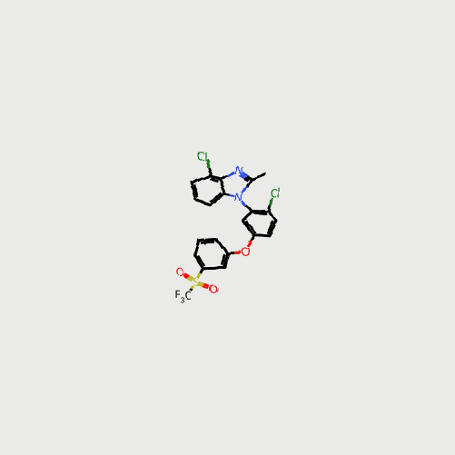 Cc1nc2c(Cl)cccc2n1-c1cc(Oc2cccc(S(=O)(=O)C(F)(F)F)c2)ccc1Cl